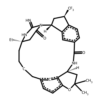 CC[C@]12CCCCc3ccc4c(c3)[C@H](CC(C)(C)O4)NC(=O)c3ccc4c(c3)[C@@H](C[C@H]4C(F)(F)F)N(C(=N)N1)C(=O)C2